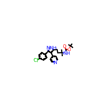 CC(C)(CCc1[nH]nc(-c2ccc(Cl)cc2)c1-c1ccncc1)NC(=O)OC(C)(C)C